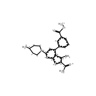 COC(=O)c1cccc(-c2cc(N3CCC(N)CC3)nc3sc(C(N)=O)c(N)c23)c1